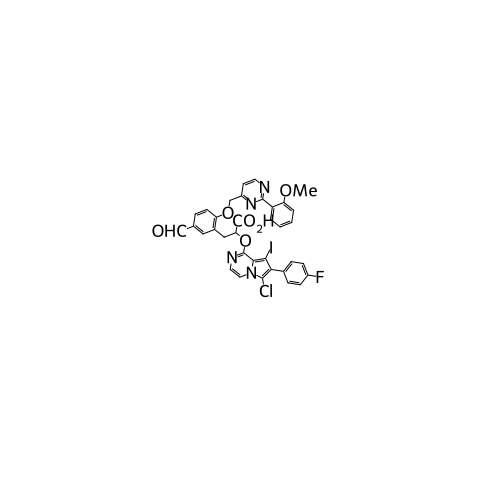 COc1ccccc1-c1nccc(COc2ccc(C=O)cc2CC(Oc2nccn3c(Cl)c(-c4ccc(F)cc4)c(I)c23)C(=O)O)n1